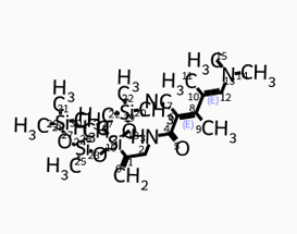 C=C(CNC(=O)/C(C#N)=C(C)/C(C)=C/N(C)C)[Si](C)(O[Si](C)(C)C)O[Si](C)(C)O[Si](C)(C)C